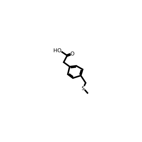 CSCc1ccc(CC(=O)O)cc1